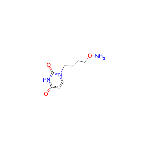 NOCCCCn1ccc(=O)[nH]c1=O